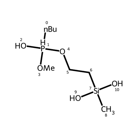 CCCC[PH](O)(OC)OCC[Si](C)(O)O